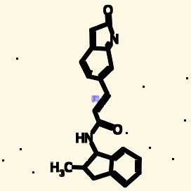 CC1Cc2ccccc2C1NC(=O)/C=C/c1ccc2c(c1)=NC(=O)C=2